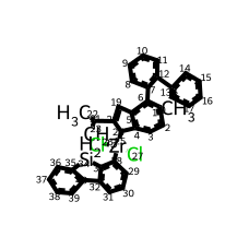 Cc1ccc2c(c1-c1ccccc1-c1ccccc1)C=C(C(C)C)[CH]2[Zr]([Cl])([Cl])[c]1cccc2c1[SiH2]c1ccccc1-2